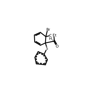 CCC(=O)C1(Sc2ccccc2)C=CC=CC1(C)Br